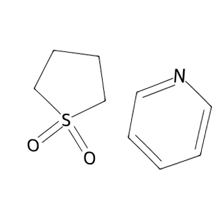 O=S1(=O)CCCC1.c1ccncc1